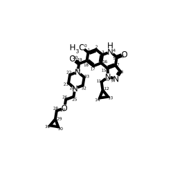 Cc1cc2[nH]c(=O)c3cnn(CC4CC4)c3c2cc1C(=O)N1CCN(CCOCC2CC2)CC1